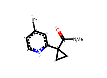 CNC(=O)C1(c2cc(C(C)C)ccn2)CC1